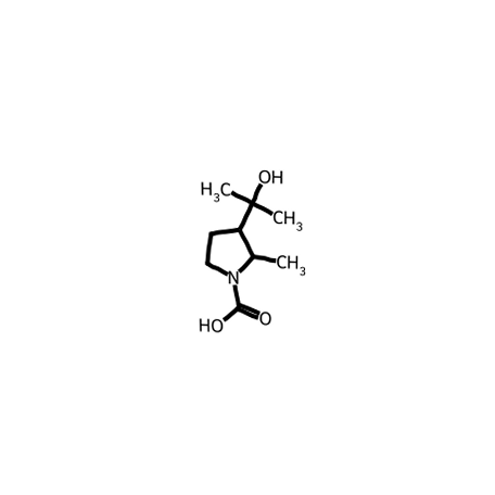 CC1C(C(C)(C)O)CCN1C(=O)O